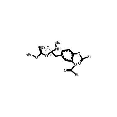 CCCCOC(=O)O[C@](Cc1ccc(OC(=O)CC)c(OC(=O)CC)c1)(NC(C)CC)C(=O)O